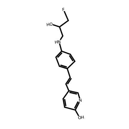 Oc1ccc(/C=C/c2ccc(NCC(O)CF)cc2)cn1